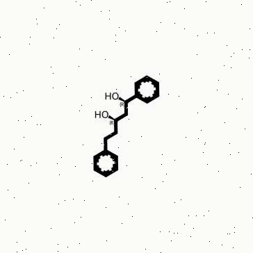 O[C@H](CCc1ccccc1)C[C@@H](O)c1ccccc1